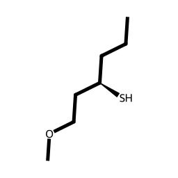 CCC[C@@H](S)CCOC